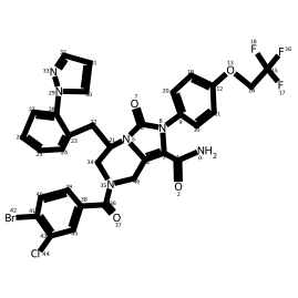 NC(=O)c1c2n(c(=O)n1-c1ccc(OCC(F)(F)F)cc1)C(Cc1ccccc1-n1cccn1)CN(C(=O)c1ccc(Br)c(Cl)c1)C2